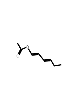 CCC=CC=COC(C)=O